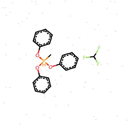 C[PH](Oc1ccccc1)(Oc1ccccc1)Oc1ccccc1.FC(F)F